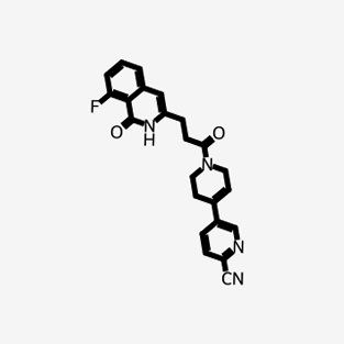 N#Cc1ccc(C2=CCN(C(=O)CCc3cc4cccc(F)c4c(=O)[nH]3)CC2)cn1